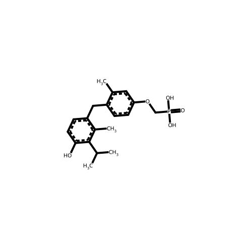 Cc1cc(OCP(=O)(O)O)ccc1Cc1ccc(O)c(C(C)C)c1C